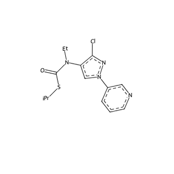 CCN(C(=O)SC(C)C)c1cn(-c2cccnc2)nc1Cl